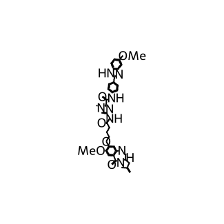 C=C1C[C@H]2C=Nc3cc(OCCCC(=O)Nc4cn(C)c(C(=O)Nc5ccc(-c6nc7cc(OC)ccc7[nH]6)cc5)n4)c(OC)cc3C(=O)N2C1